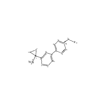 NC1(c2ccnc(-c3ccc(CF)cc3)c2)CC1